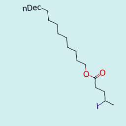 CCCCCCCCCCCCCCCCCCCOC(=O)CCC(C)I